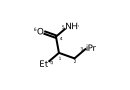 CCC(CC(C)C)C([NH])=O